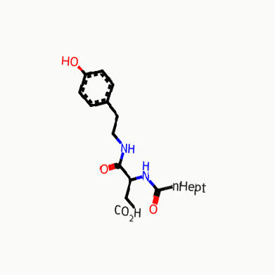 CCCCCCCC(=O)NC(CC(=O)O)C(=O)NCCc1ccc(O)cc1